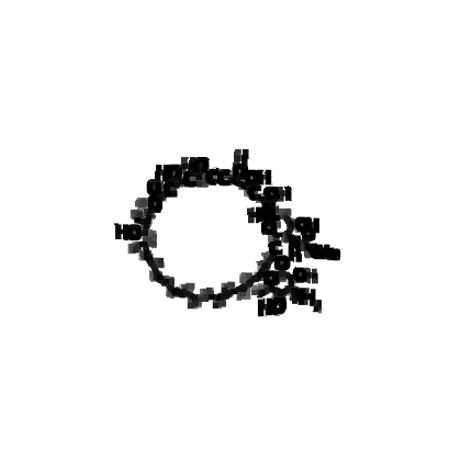 CNC(=O)N[C@H]1C2C[C@@H](O[C@@H]3O[C@H](C)[C@@H](O)[C@H](N)[C@@H]3O)/C=C/C=C/C=C/C=C/C=C/C=C/C=C/C(C)[C@@H](O)[C@@H](C)[C@H](C)OC(=O)C[C@H](O)C[C@H](O)CC[C@@H](O)[C@H](O)C[C@H](O)C[C@](O)(C[C@@H]1O)O2